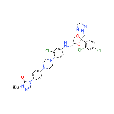 CCC(C)n1ncn(-c2ccc(N3CCN(c4ccc(NCC5COC(Cn6nccn6)(c6ccc(Cl)cc6Cl)O5)cc4Cl)CC3)cc2)c1=O